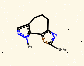 CC(=O)Nc1nc2c(s1)-c1c(cnn1C(C)C)CCC2